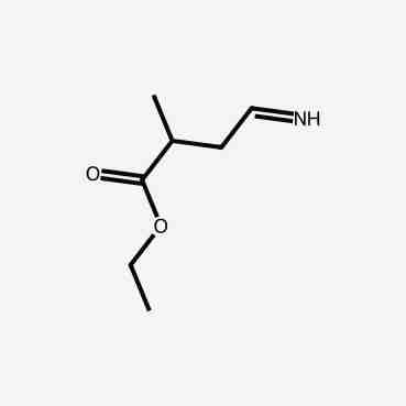 CCOC(=O)C(C)CC=N